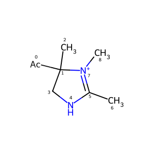 CC(=O)C1(C)CNC(C)=[N+]1C